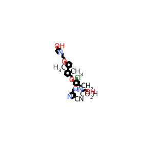 Cc1c(COc2cc(OCc3cncc(C#N)c3)c(C(C)N[C@@H](CO)C(=O)O)cc2Cl)cccc1-c1cccc(OCCCN2CCC(O)C2)c1C